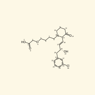 O=C(O)COCCCCN1CCCC(=O)C1/C=C/[C@H](O)Cc1cccc(Cl)c1